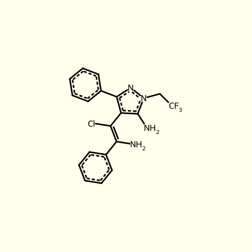 N/C(=C(/Cl)c1c(-c2ccccc2)nn(CC(F)(F)F)c1N)c1ccccc1